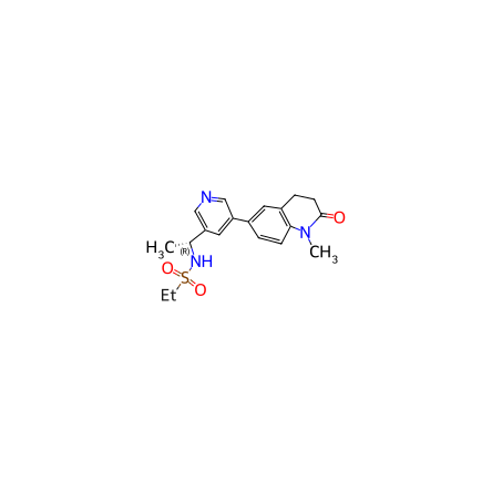 CCS(=O)(=O)N[C@H](C)c1cncc(-c2ccc3c(c2)CCC(=O)N3C)c1